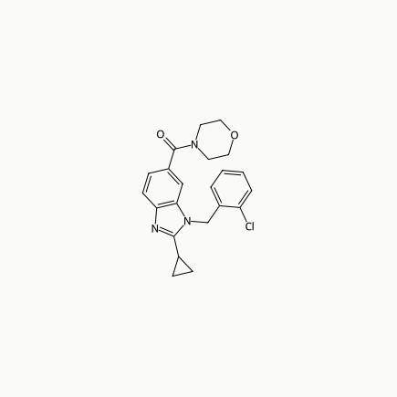 O=C(c1ccc2nc(C3CC3)n(Cc3ccccc3Cl)c2c1)N1CCOCC1